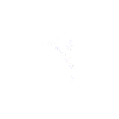 CC1(C)CCC(CN2CCN(c3ccc(C(=O)NS(=O)(=O)c4cnc(O[C@H]5CC[C@H](N6CCOCC6)CC5)c(Br)c4)c(Oc4cnc5[nH]ccc5c4)c3)CC2)=C(c2ccc(Cl)cc2)C1